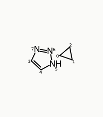 C1CC1.c1c[nH]nn1